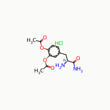 CC(=O)Oc1ccc(C[C@H](N)C(N)=O)cc1OC(C)=O.Cl